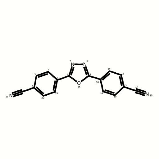 N#Cc1ccc(-c2nnc(-c3ccc(C#N)cc3)o2)cc1